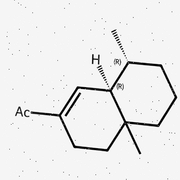 CC(=O)C1=C[C@H]2[C@H](C)CCCC2(C)CC1